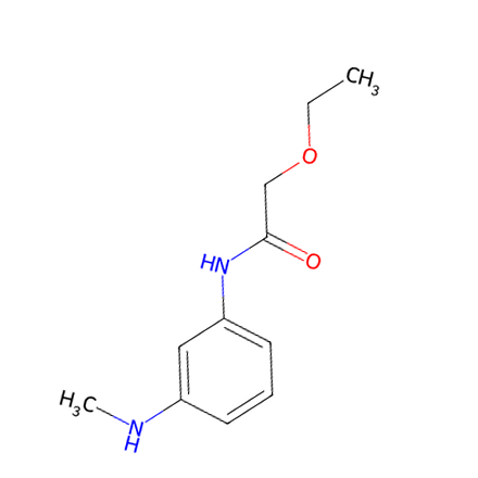 CCOCC(=O)Nc1cccc(NC)c1